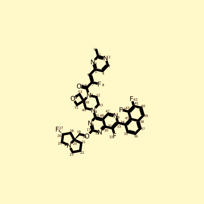 Cc1nccc(/C=C(\F)C(=O)N2CCN(c3nc(OC[C@@]45CCCN4C[C@H](F)C5)nc4c(F)c(-c5cccc6ccc(F)c(F)c56)ncc34)CC23COC3)n1